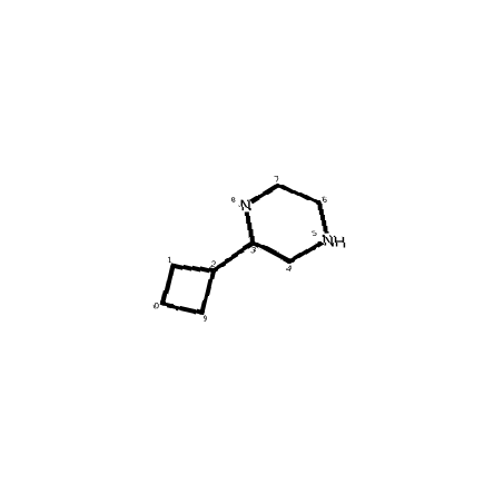 C1CC(C2CNCC[N]2)C1